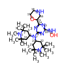 CN1C(C)(C)CC(N(c2nc(NO)nc(C3CNCCO3)n2)C2CC(C)(C)N(C)C(C)(C)C2)CC1(C)C